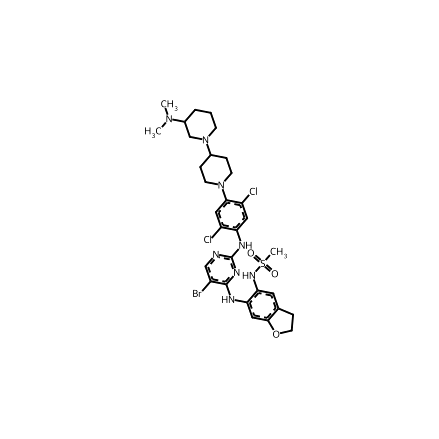 CN(C)C1CCCN(C2CCN(c3cc(Cl)c(Nc4ncc(Br)c(Nc5cc6c(cc5NS(C)(=O)=O)CCO6)n4)cc3Cl)CC2)C1